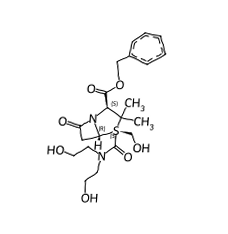 CC1(C)[C@H](C(=O)OCc2ccccc2)N2C(=O)C[C@H]2[S@@]1(CO)C(=O)N(CCO)CCO